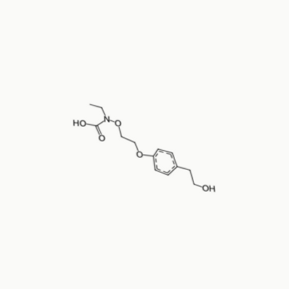 CCN(OCCOc1ccc(CCO)cc1)C(=O)O